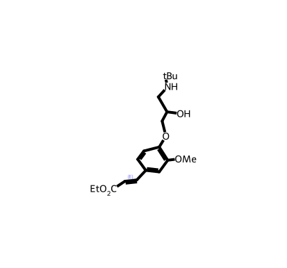 CCOC(=O)/C=C/c1ccc(OCC(O)CNC(C)(C)C)c(OC)c1